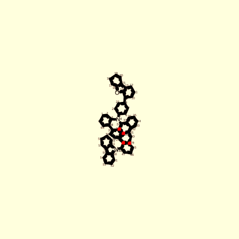 c1ccc(N(c2ccc(-c3cccc4c3oc3ccccc34)cc2)c2cc3ccccc3c3ccccc23)c(-c2ccc(-c3ccccc3-n3c4ccccc4c4ccccc43)cc2)c1